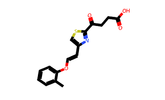 Cc1ccccc1O/C=C/c1csc(C(=O)CCC(=O)O)n1